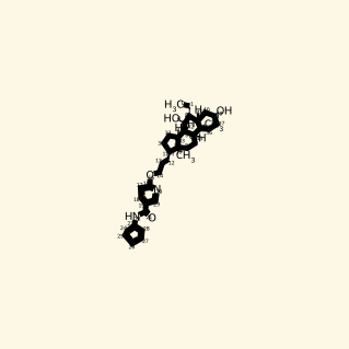 CC[C@H]1[C@@H](O)[C@@H]2[C@H](CC[C@]3(C)[C@@H](CCCOc4ccc(C(=O)Nc5ccccc5)cn4)CC[C@@H]23)[C@@]2(C)CC[C@@H](O)C[C@@H]12